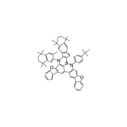 Cc1cc2c(cc1N1c3c(sc4cc5c(cc34)C(C)(C)CCC5(C)C)B3c4c(cc5c(oc6ccccc65)c41)-c1cc4c(cc1N3c1ccc(C(C)(C)C)cc1)oc1ccccc14)C(C)(C)CCC2(C)C